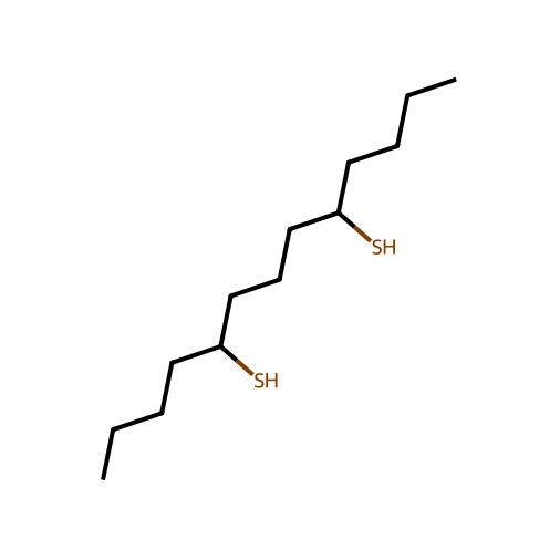 CCCCC(S)CCCC(S)CCCC